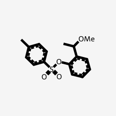 COC(C)c1ccccc1OS(=O)(=O)c1ccc(C)cc1